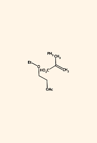 C=C(C)C(=O)O.CCOCCOC(C)=O.P